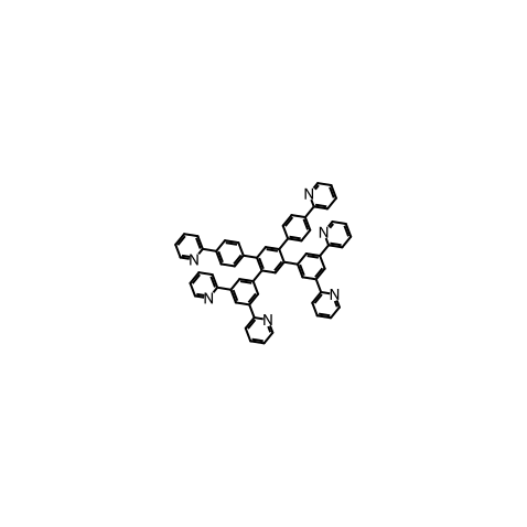 c1ccc(-c2ccc(-c3cc(-c4ccc(-c5ccccn5)cc4)c(-c4cc(-c5ccccn5)cc(-c5ccccn5)c4)cc3-c3cc(-c4ccccn4)cc(-c4ccccn4)c3)cc2)nc1